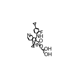 O=C(NOC[C@H](O)CO)c1c(Nc2ccc(C3CC3)cc2F)c2cnccc2n1C1CC1